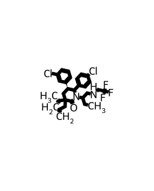 C=CCC1(C(=C)C)C[C@H](c2cccc(Cl)c2)C(c2ccc(Cl)cc2)N(C(CC)CNCC(F)(F)F)C1=O